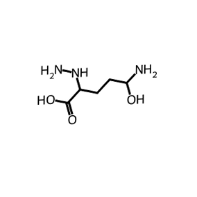 NNC(CCC(N)O)C(=O)O